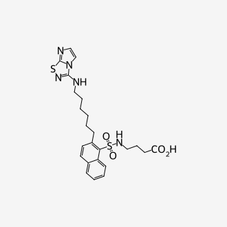 O=C(O)CCCNS(=O)(=O)c1c(CCCCCCNc2nsc3nccn23)ccc2ccccc12